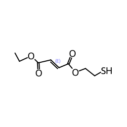 CCOC(=O)/C=C/C(=O)OCCS